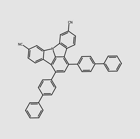 N#Cc1ccc2c3c(-c4ccc(-c5ccccc5)cc4)cc(-c4ccc(-c5ccccc5)cc4)c4c5ccc(C#N)cc5n(c2c1)c34